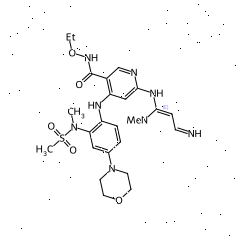 CCONC(=O)c1cnc(N/C(=C/C=N)NC)cc1Nc1ccc(N2CCOCC2)cc1N(C)S(C)(=O)=O